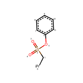 CC(C)CS(=O)(=O)Oc1cc[c]cc1